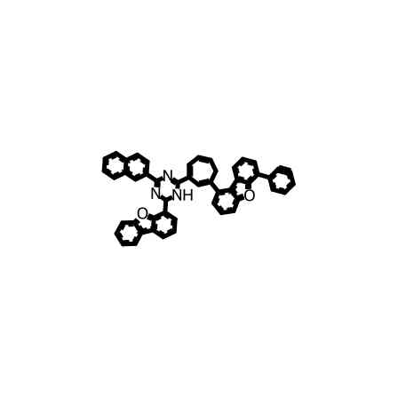 c1cccc(-c2cccc3c2oc2cccc(C4=CC(C5=NC(c6ccc7ccccc7c6)=NC(c6cccc7c6oc6ccccc67)N5)=CC=CC4)c23)c#1